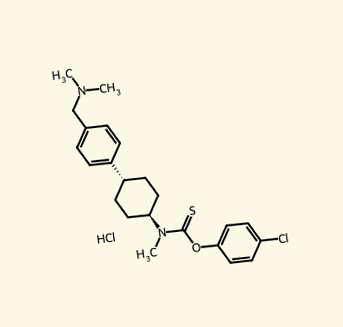 CN(C)Cc1ccc([C@H]2CC[C@H](N(C)C(=S)Oc3ccc(Cl)cc3)CC2)cc1.Cl